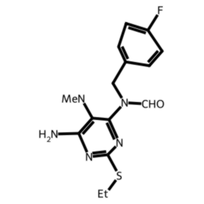 CCSc1nc(N)c(NC)c(N(C=O)Cc2ccc(F)cc2)n1